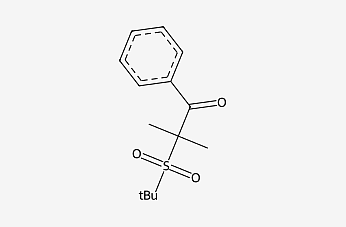 CC(C)(C)S(=O)(=O)C(C)(C)C(=O)c1ccccc1